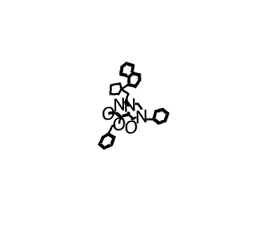 O=C1c2c(OCc3ccccc3)c(=O)nc(CC3(c4cccc5ccccc45)CCCC3)n2CCN1Cc1ccccc1